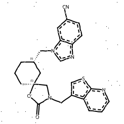 N#Cc1ccc2ncn(C[C@H]3CCC[C@]4(C3)CN(Cc3csc5ncccc35)C(=O)O4)c2c1